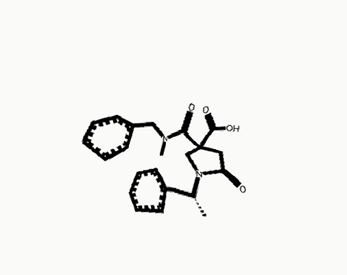 C[C@H](c1ccccc1)N1CC(C(=O)O)(C(=O)N(C)Cc2ccccc2)CC1=O